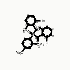 COc1ccc(P(=O)(C(=O)c2c(Cl)cccc2Cl)C(=O)c2c(Cl)cccc2Cl)c(OC)c1